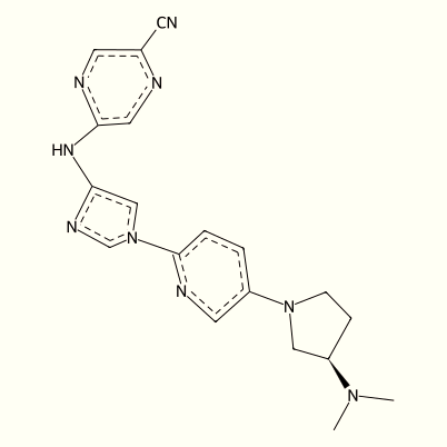 CN(C)[C@@H]1CCN(c2ccc(-n3cnc(Nc4cnc(C#N)cn4)c3)nc2)C1